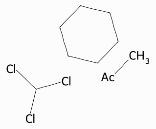 C1CCCCC1.CC(C)=O.ClC(Cl)Cl